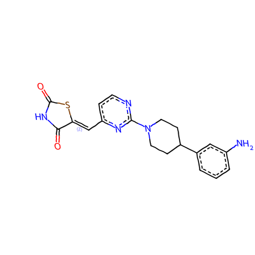 Nc1cccc(C2CCN(c3nccc(/C=C4\SC(=O)NC4=O)n3)CC2)c1